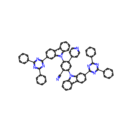 N#Cc1cc(-n2c3ccccc3c3ccc(-c4nc(-c5ccccc5)nc(-c5ccccc5)n4)cc32)c(-c2ccncc2)cc1-n1c2ccccc2c2ccc(-c3nc(-c4ccccc4)nc(-c4ccccc4)n3)cc21